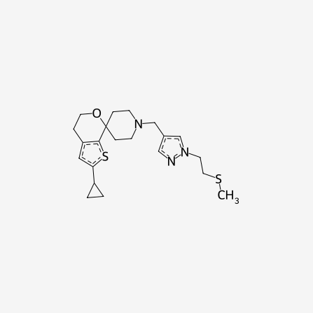 CSCCn1cc(CN2CCC3(CC2)OCCc2cc(C4CC4)sc23)cn1